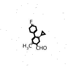 C[C@H]1C=C(C2=CC[C@H](F)CC2)[C@@H](C2CC2)CC1C=O